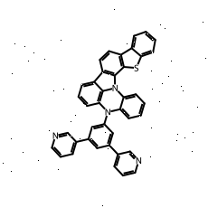 c1cncc(-c2cc(-c3cccnc3)cc(N3c4ccccc4-n4c5c3cccc5c3ccc5c6ccccc6sc5c34)c2)c1